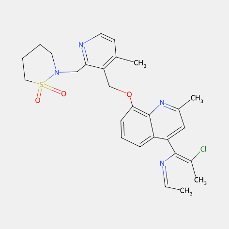 C/C=N\C(=C(/C)Cl)c1cc(C)nc2c(OCc3c(C)ccnc3CN3CCCCS3(=O)=O)cccc12